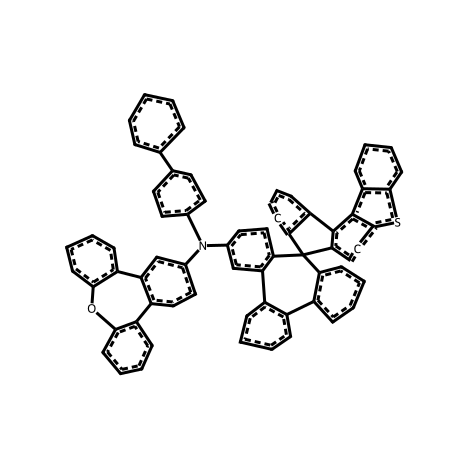 c1ccc(-c2ccc(N(c3ccc4c(c3)-c3ccccc3Oc3ccccc3-4)c3ccc4c(c3)-c3ccccc3-c3ccccc3C43c4ccccc4-c4c3ccc3sc5ccccc5c43)cc2)cc1